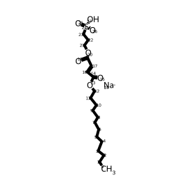 CCCCCCCCCCCCCOC(=O)C=CC(=O)OCCCS(=O)(=O)O.[Na]